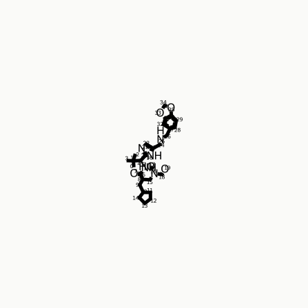 CC(C)(C)[C@H](NC(=O)C(CC1CCCC1)CN(O)C=O)c1ncc(CNCc2ccc3c(c2)OCO3)[nH]1